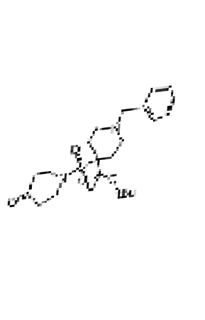 CC(C)(C)OC(=O)C1(S(=O)(=O)N2CCC(=O)CC2)CCN(Cc2ccccc2)CC1